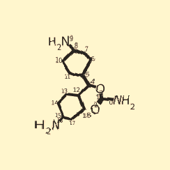 NC(=O)OC(C1CCC(N)CC1)C1CCC(N)CC1